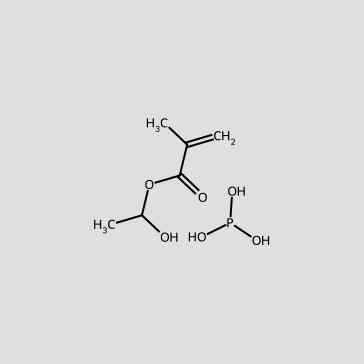 C=C(C)C(=O)OC(C)O.OP(O)O